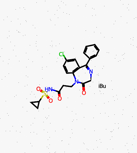 CC[C@H](C)[C@@H]1N=C(c2ccccc2)c2cc(Cl)ccc2N(CCC(=O)NS(=O)(=O)C2CC2)C1=O